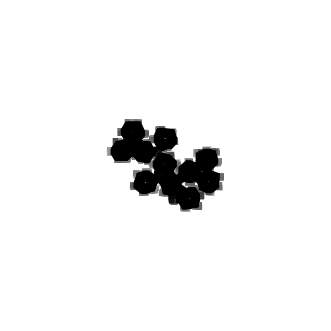 c1ccc(N(c2ccc3c4ccccc4c4ccccc4c3c2)c2ccc3c4c(-c5ccc6c7ccccc7c7ccccc7c6c5)c5c(cc4n(-c4ccccc4)c3c2)oc2ccccc25)cc1